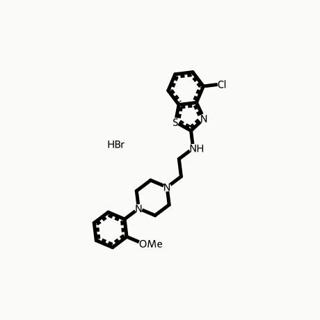 Br.COc1ccccc1N1CCN(CCNc2nc3c(Cl)cccc3s2)CC1